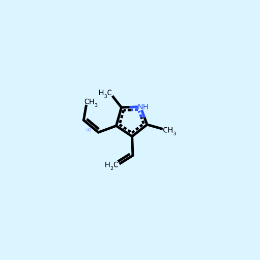 C=Cc1c(C)[nH]c(C)c1/C=C\C